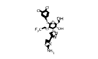 Nc1nc(-c2cn([C@H]3[C@@H](O)[C@@H](CO)O[C@H](Sc4ccc(Cl)c(Cl)c4)[C@@H]3OCC(F)(F)F)nn2)cs1